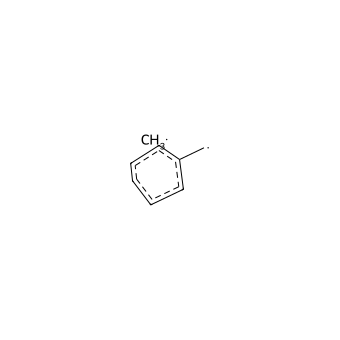 [CH2]c1ccccc1.[CH3]